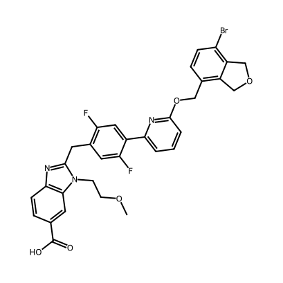 COCCn1c(Cc2cc(F)c(-c3cccc(OCc4ccc(Br)c5c4COC5)n3)cc2F)nc2ccc(C(=O)O)cc21